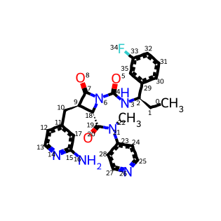 CC[C@@H](NC(=O)N1C(=O)[C@H](Cc2ccnc(N)c2)[C@H]1C(=O)N(C)c1ccncc1)c1cccc(F)c1